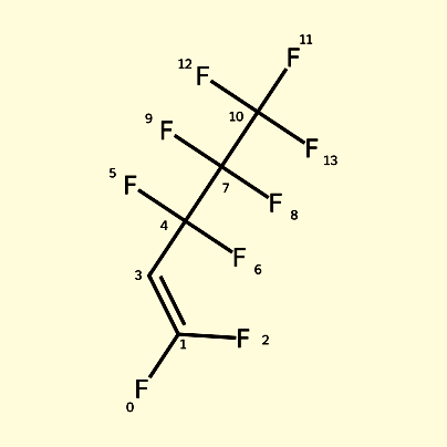 FC(F)=CC(F)(F)C(F)(F)C(F)(F)F